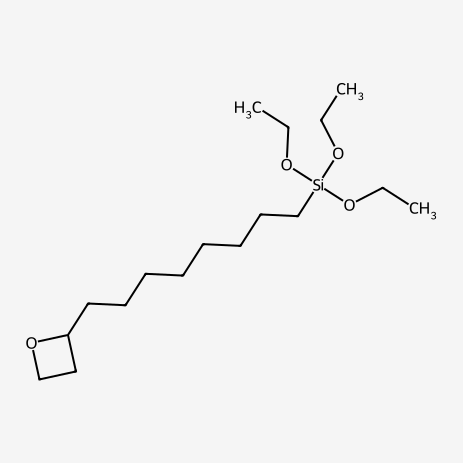 CCO[Si](CCCCCCCCC1CCO1)(OCC)OCC